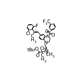 C/C(=C\c1ccc2c(c1)N(S(=O)(=O)c1cccc(C(F)(F)F)c1)CCN2CCN(C)C(C)(C)C(=O)OC(C)(C)C)c1c(F)cccc1Cl